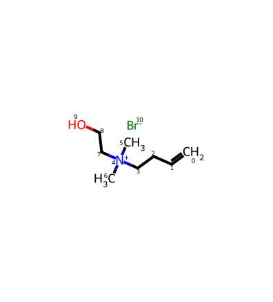 C=CCC[N+](C)(C)CCO.[Br-]